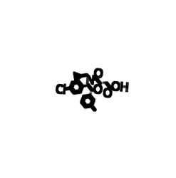 Cc1cccc([C@H]2O[C@@H](CC(=O)O)C(=O)N(CC3CC3)[C@@H]2c2ccc(Cl)cc2)c1